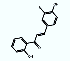 O=C(/C=C/c1ccc(O)c(I)c1)c1ccccc1O